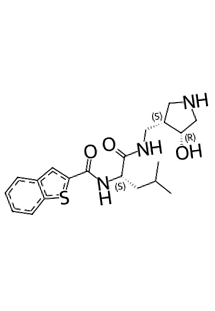 CC(C)C[C@H](NC(=O)c1cc2ccccc2s1)C(=O)NC[C@@H]1CNC[C@@H]1O